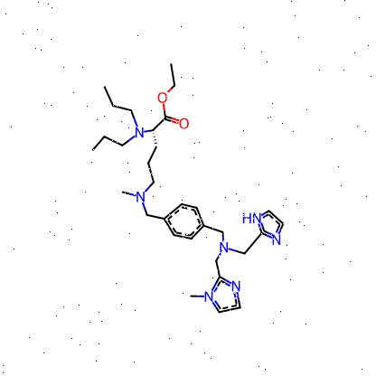 CCCN(CCC)[C@@H](CCCN(C)Cc1ccc(CN(Cc2ncc[nH]2)Cc2nccn2C)cc1)C(=O)OCC